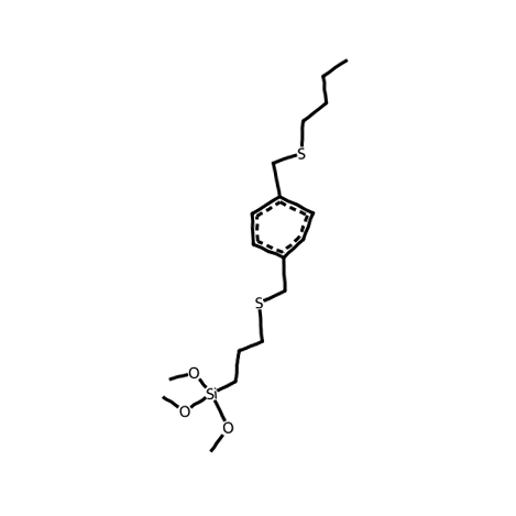 CCCCSCc1ccc(CSCCC[Si](OC)(OC)OC)cc1